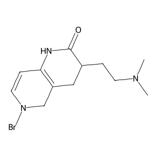 CN(C)CCC1CC2=C(C=CN(Br)C2)NC1=O